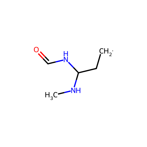 [CH2]CC(NC)NC=O